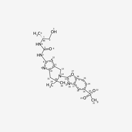 C[C@H](CO)NC(=O)Nc1nc2c(s1)CN(c1nc3cc(S(C)(=O)=O)ccc3o1)C(C)(C)C2